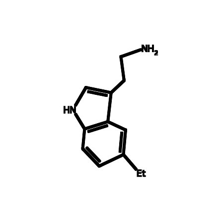 CCc1ccc2[nH]cc(CCN)c2c1